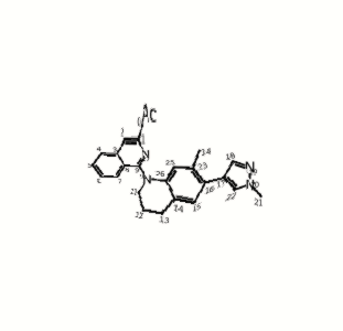 CC(=O)c1cc2ccccc2c(N2CCCc3cc(-c4cnn(C)c4)c(C)cc32)n1